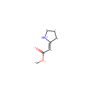 COC(=O)C=C1CCCN1